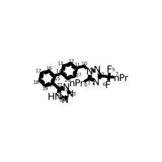 CCCc1nc(C(F)(F)CCC)nn1Cc1ccc(-c2ccccc2-c2nnn[nH]2)cc1